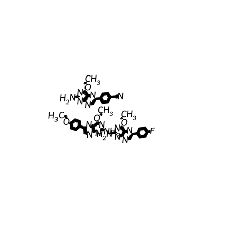 CCOc1ccc(-c2cnc3nc(N)nc(OCC)c3n2)cc1.CCOc1nc(N)nc2ncc(-c3ccc(C#N)cc3)nc12.CCOc1nc(N)nc2ncc(-c3ccc(F)cc3)nc12